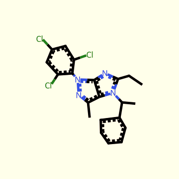 CCc1nc2c(c(C)nn2-c2c(Cl)cc(Cl)cc2Cl)n1C(C)c1ccccc1